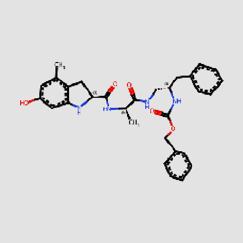 Cc1cc(O)cc2c1C[C@@H](C(=O)N[C@H](C)C(=O)NC[C@H](Cc1ccccc1)NC(=O)OCc1ccccc1)N2